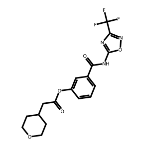 O=C(CC1CCOCC1)Oc1cccc(C(=O)Nc2nc(C(F)(F)F)no2)c1